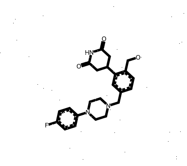 [O]Cc1ccc(CN2CCN(c3ccc(F)cc3)CC2)cc1C1CC(=O)NC(=O)C1